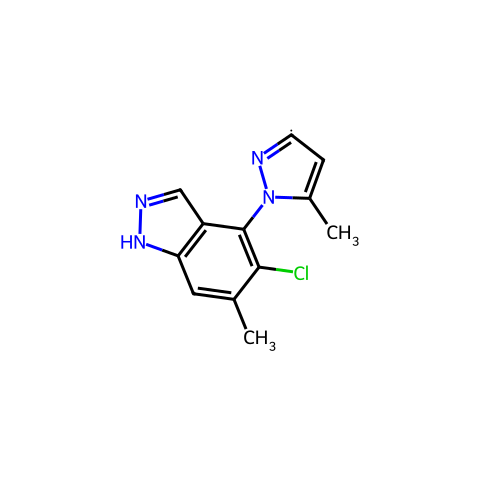 Cc1cc2[nH]ncc2c(-n2n[c]cc2C)c1Cl